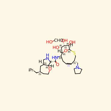 CC(C)C[C@@H]1CCO[C@@H]2[C@H](CN[C@@H]2C(=O)N[C@@H]2C/C=C\[C@@H](CN3CCCC3)CS[C@H]3O[C@H]2[C@H](O)[C@H](O)[C@H]3O)C1.O=CO